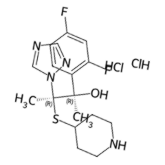 C[C@](SC1CCNCC1)(n1cncn1)[C@](C)(O)c1ccc(F)cc1F.Cl.Cl